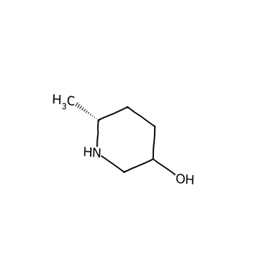 C[C@@H]1CCC(O)CN1